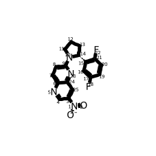 O=[N+]([O-])c1cnc2ccc(N3CCC[C@@H]3c3cc(F)ccc3F)nc2c1